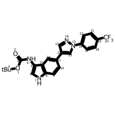 CC(C)(C)OC(=O)Nc1c[nH]c2ccc(-c3cnn(-c4ccc(C(F)(F)F)cc4)c3)cc12